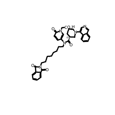 O=C(O)Cn1cc(N(CCCCCCCCN2C(=O)c3ccccc3C2=O)C(=O)[C@H]2CCCN(c3cncc4ccccc34)C2)ccc1=O